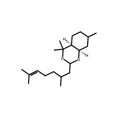 CC(C)=CCCC(C)CC1O[C@@H]2CC(C)CC[C@@H]2C(C)(C)O1